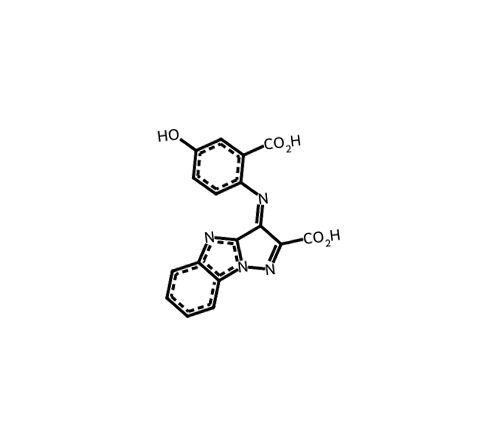 O=C(O)C1=Nn2c(nc3ccccc32)C1=Nc1ccc(O)cc1C(=O)O